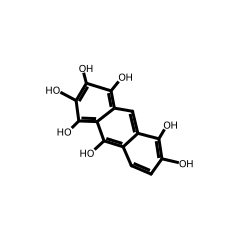 Oc1ccc2c(O)c3c(O)c(O)c(O)c(O)c3cc2c1O